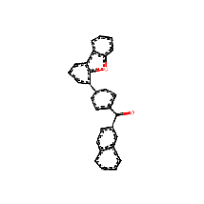 O=C(c1ccc(-c2cccc3c2oc2ccccc23)cc1)c1ccc2ccccc2c1